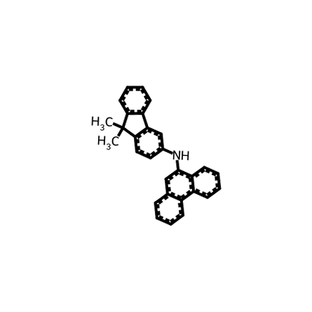 CC1(C)c2ccccc2-c2cc(Nc3cc4ccccc4c4ccccc34)ccc21